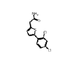 NC(=O)Cc1ccc(-c2ccc(Cl)cc2Cl)s1